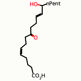 CCCCCC(O)/C=C/CCC(=O)CC/C=C\CCCC(=O)O